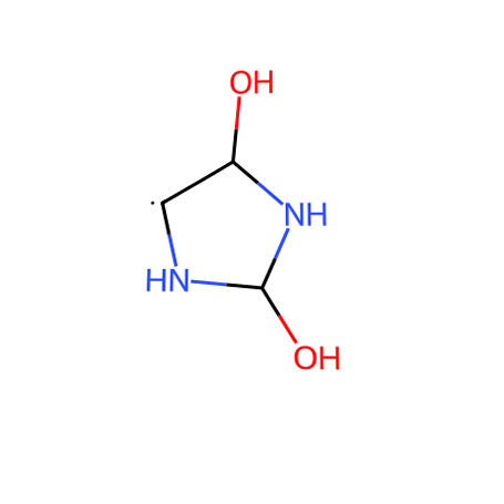 OC1[CH]NC(O)N1